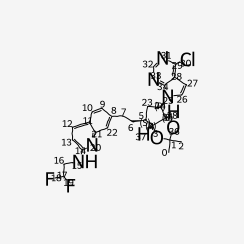 CC1(C)O[C@@H]2[C@@H](CCc3ccc4ccc(NCC(F)F)nc4c3)C[C@@H](n3ccc4c(Cl)ncnc43)[C@@H]2O1